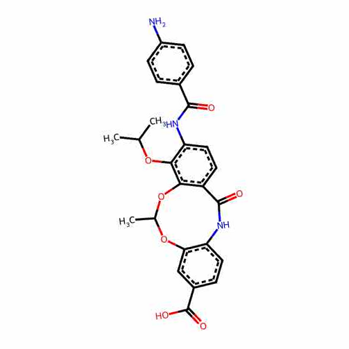 CC(C)Oc1c(NC(=O)c2ccc(N)cc2)ccc2c1OC(C)Oc1cc(C(=O)O)ccc1NC2=O